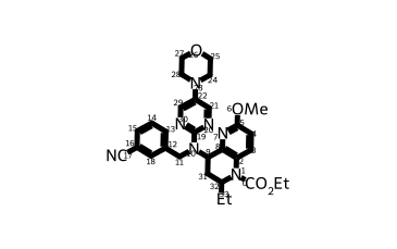 CCOC(=O)N1c2ccc(OC)nc2C(N(Cc2cccc(C#N)c2)c2ncc(N3CCOCC3)cn2)CC1CC